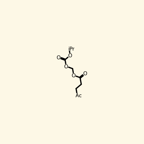 CC(=O)CCC(=O)OCOC(=O)OC(C)C